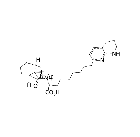 CC(=O)N1C[C@H]2CCC[C@@H](C1)[C@@H]2C(=O)N[C@@H](CCCCCCCc1ccc2c(n1)NCCC2)C(=O)O